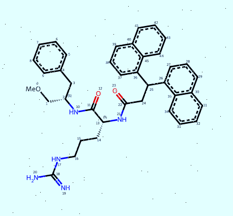 COC[C@H](Cc1ccccc1)NC(=O)[C@@H](CCCNC(=N)N)NC(=O)CC(c1cccc2ccccc12)c1cccc2ccccc12